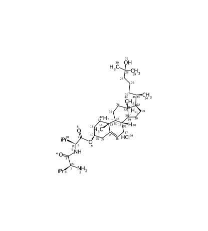 CC(C)[C@H](N)C(=O)N[C@H](C(=O)O[C@H]1CC[C@@]2(C)C(=CC[C@H]3[C@@H]4CC[C@H]([C@H](C)CCCC(C)(C)O)[C@@]4(C)CC[C@@H]32)C1)C(C)C.Cl